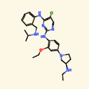 CCN[C@@H]1CCN(c2ccc(Nc3ncc(Cl)c(Nc4ccccc4CNC(C)C)n3)c(OCC)c2)C1